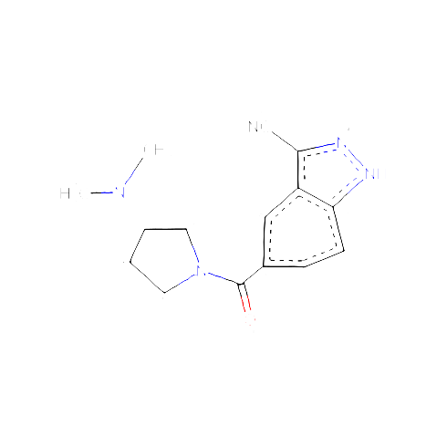 CN(C)[C@H]1CCN(C(=O)c2ccc3[nH]nc(C#N)c3c2)C1